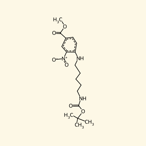 COC(=O)c1ccc(NCCCCCNC(=O)OC(C)(C)C)c([N+](=O)[O-])c1